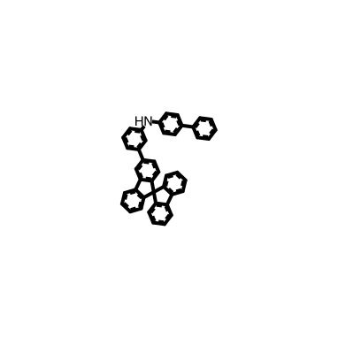 c1ccc(-c2ccc(Nc3cccc(-c4ccc5c(c4)-c4ccccc4C54c5ccccc5-c5ccccc54)c3)cc2)cc1